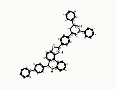 c1ccc(-c2ccc(C3Nc4ccccc4-c4c3ccc3c4NC(c4ccc(C5=NC(c6ccccc6)NC(c6ccccc6)C5)cc4)O3)cc2)cc1